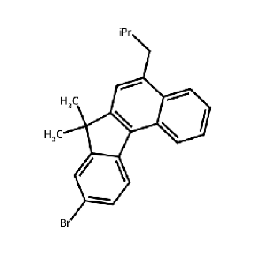 CC(C)Cc1cc2c(c3ccccc13)-c1ccc(Br)cc1C2(C)C